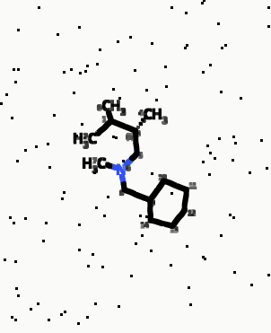 CC(C)[C@H](C)CN(C)CC1CCCCC1